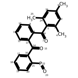 Cc1cc(C)c(C(=O)c2ccccc2C(=O)c2ccccc2P=O)c(C)c1